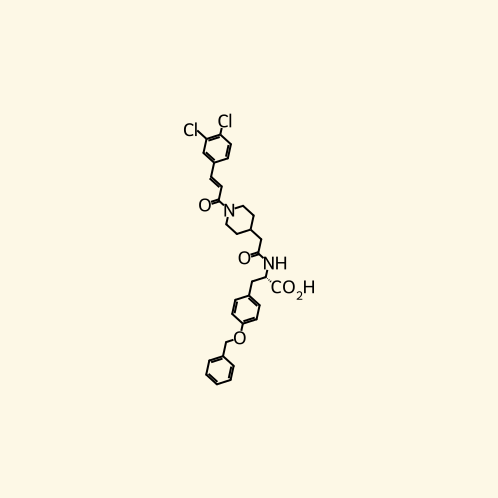 O=C(CC1CCN(C(=O)/C=C/c2ccc(Cl)c(Cl)c2)CC1)N[C@@H](Cc1ccc(OCc2ccccc2)cc1)C(=O)O